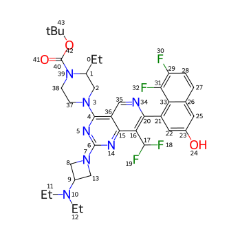 CCC1CN(c2nc(N3CC(N(CC)CC)C3)nc3c(C(F)F)c(-c4cc(O)cc5ccc(F)c(F)c45)ncc23)CCN1C(=O)OC(C)(C)C